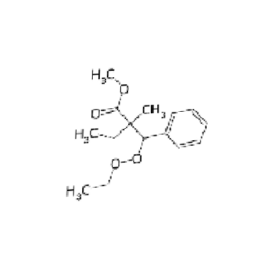 CCOOC(c1ccccc1)C(C)(CC)C(=O)OC